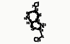 ClCc1nc2cc(Cl)cnc2s1